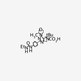 CCNC(=O)Nc1ccc(-c2nc3c(c(N4CCOCC4C)n2)[C@H](C(C)(C)C)N(C(=O)O)C3)cc1